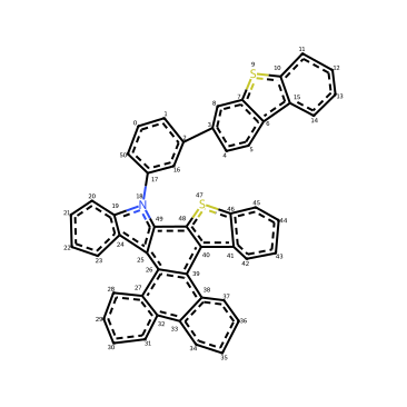 c1cc(-c2ccc3c(c2)sc2ccccc23)cc(-n2c3ccccc3c3c4c5ccccc5c5ccccc5c4c4c5ccccc5sc4c32)c1